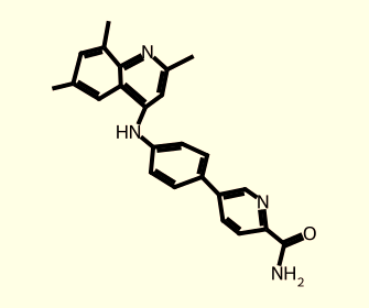 Cc1cc(C)c2nc(C)cc(Nc3ccc(-c4ccc(C(N)=O)nc4)cc3)c2c1